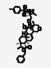 CO[C@@H]1C[C@@]23COC[C@](C)([C@@H]2CC[C@H]2C3=CC[C@@]3(C)[C@H](C(=O)OCc4ccccc4)[C@@](C)([C@H](C)C(C)C)CC[C@]23C)[C@H]1OC[C@@](C)(NS(=O)(=O)c1ccc(C)cc1)C(C)C